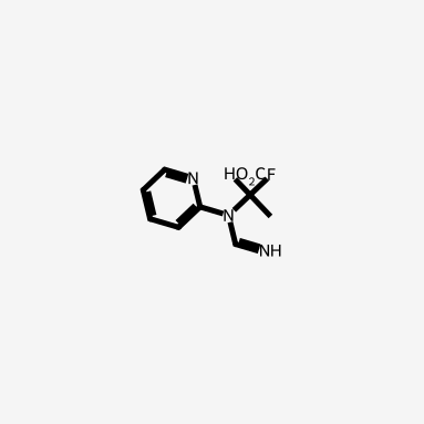 CC(F)(C(=O)O)N(C=N)c1ccccn1